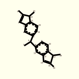 CC1=Cc2cc(C(C)c3ccc4c(c3)C=C(C)C4C)ccc2C1C